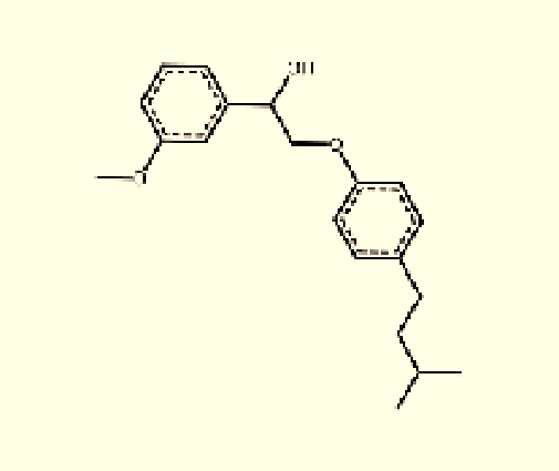 COc1cccc(C(O)COc2ccc(CCC(C)C)cc2)c1